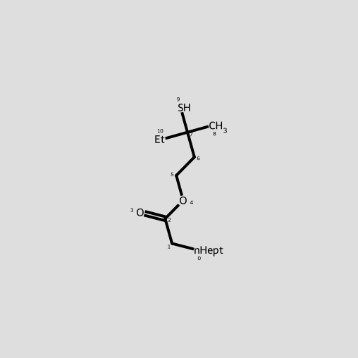 CCCCCCCCC(=O)OCCC(C)(S)CC